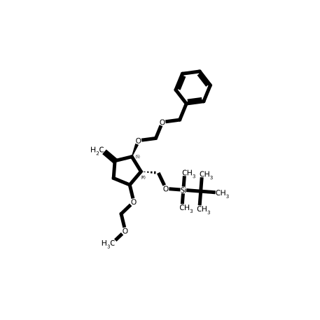 C=C1CC(OCOC)[C@@H](CO[Si](C)(C)C(C)(C)C)[C@@H]1OCOCc1ccccc1